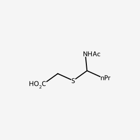 CCCC(NC(C)=O)SCC(=O)O